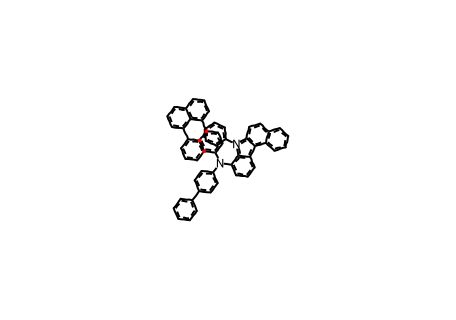 c1ccc(-c2ccc(N(c3ccc(-c4cccc5cccc(-c6ccccc6)c45)cc3)c3cccc4c5c6ccccc6ccc5n(-c5ccccc5)c34)cc2)cc1